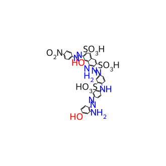 Nc1cc(O)ccc1/N=N/c1ccc(Nc2ccc(/N=N/c3c(S(=O)(=O)O)cc4cc(S(=O)(=O)O)c(/N=N/c5ccc([N+](=O)[O-])cc5)c(O)c4c3N)cc2S(=O)(=O)O)cc1